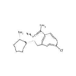 C=C(C)c1ccc(Cl)cc1CC[C@@H]1CCC[C@@H]1N